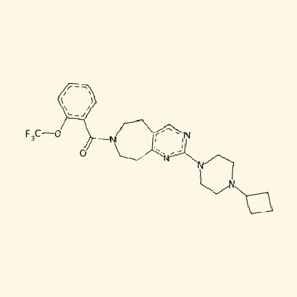 O=C(c1ccccc1OC(F)(F)F)N1CCc2cnc(N3CCN(C4CCC4)CC3)nc2CC1